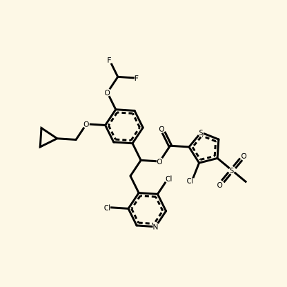 CS(=O)(=O)c1csc(C(=O)OC(Cc2c(Cl)cncc2Cl)c2ccc(OC(F)F)c(OCC3CC3)c2)c1Cl